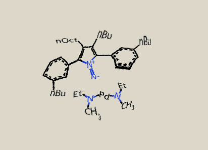 CCCCCCCCC1=C(c2cccc(CCCC)c2)[N+](=[N-])C(c2cccc(CCCC)c2)=C1CCCC.CC[N](C)[Pd][N](C)CC